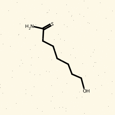 NC(=S)CCCCCCO